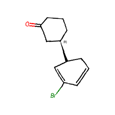 O=C1CCC[C@@H](C2C=C(Br)C=CC2)C1